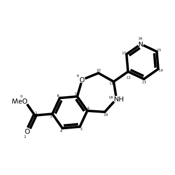 COC(=O)c1ccc2c(c1)OCC(c1cccnc1)NC2